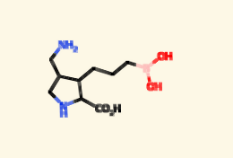 NCC1CNC(C(=O)O)C1CCCB(O)O